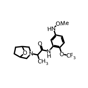 CONc1ccc(OC(F)(F)F)c(NC(=O)C(C)N2CC3CCC(C2)O3)c1